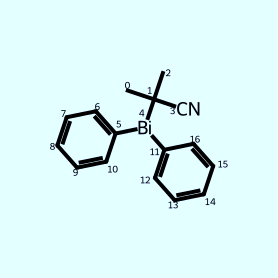 C[C](C)(C#N)[Bi]([c]1ccccc1)[c]1ccccc1